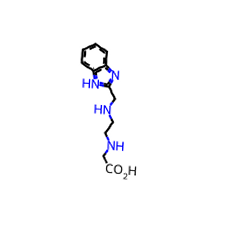 O=C(O)CNCCNCc1nc2ccccc2[nH]1